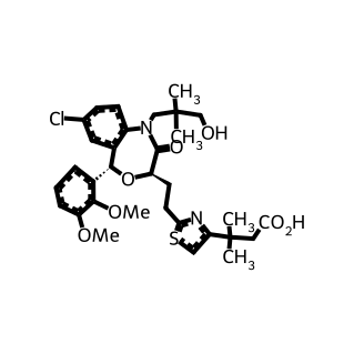 COc1cccc([C@H]2O[C@H](CCc3nc(C(C)(C)CC(=O)O)cs3)C(=O)N(CC(C)(C)CO)c3ccc(Cl)cc32)c1OC